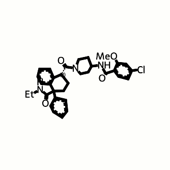 CCNC(=O)C1(c2ccccc2)CC[C@@H](C(=O)N2CCC(NC(=O)c3ccc(Cl)cc3OC)CC2)c2ccccc21